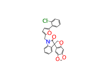 O=C1N(Cc2ccc(-c3ccccc3Cl)o2)c2ccccc2C12COc1cc3c(cc12)OCO3